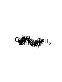 C=CC(=O)N1CCCC(C(=O)Nc2ccc(NC(=O)c3cccc(-c4[nH]ncc4Cl)n3)nc2)C1